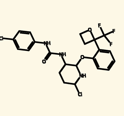 O=C(Nc1ccc(Cl)cc1)NC1CCC(Cl)NC1Oc1ccccc1C1(C(F)(F)F)CCO1